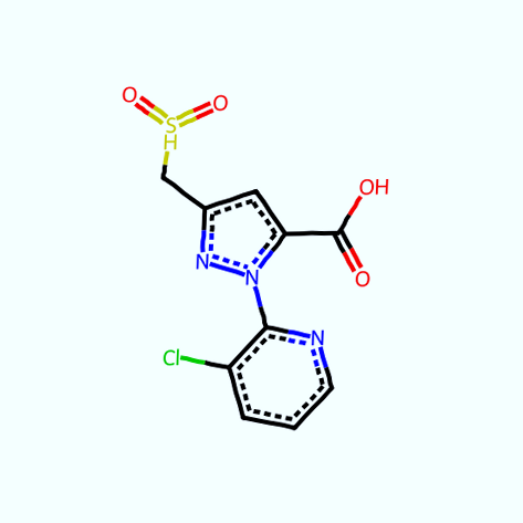 O=C(O)c1cc(C[SH](=O)=O)nn1-c1ncccc1Cl